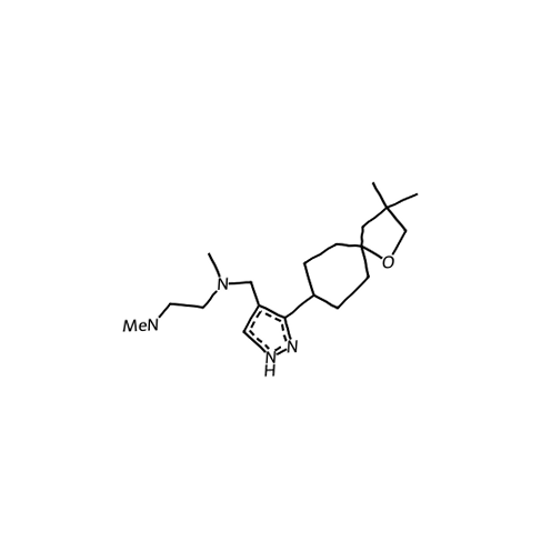 CNCCN(C)Cc1c[nH]nc1C1CCC2(CC1)CC(C)(C)CO2